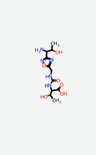 CC(O)C(NC(=O)NCc1nc(C(N)C(C)O)no1)C(=O)O